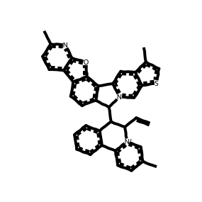 C=CC1C(C2c3ccc4c(oc5nc(C)ccc54)c3-c3cc4c(C)csc4c[n+]32)c2ccccc2-c2ccc(C)c[n+]21